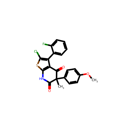 COc1ccc(C2(C)C(=O)Nc3sc(Cl)c(-c4ccccc4F)c3C2=O)cc1